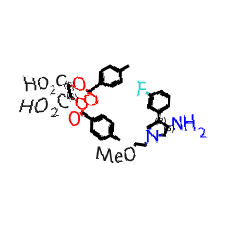 COCCN1C[C@@H](N)[C@H](c2cccc(F)c2)C1.Cc1ccc(C(=O)O[C@H](C(=O)O)[C@H](OC(=O)c2ccc(C)cc2)C(=O)O)cc1